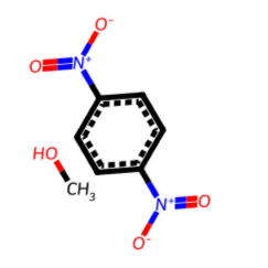 CO.O=[N+]([O-])c1ccc([N+](=O)[O-])cc1